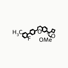 COC(=O)C[C@@H](c1ccc2c(c1)OC(c1ccc(-c3cc(C)ccc3F)cc1)CC2)C1CCC1